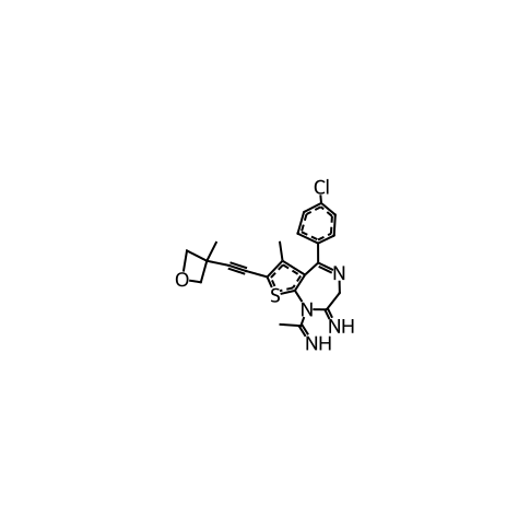 CC(=N)N1C(=N)CN=C(c2ccc(Cl)cc2)c2c1sc(C#CC1(C)COC1)c2C